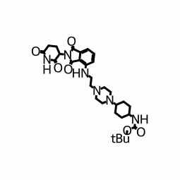 CC(C)(C)OC(=O)NC1CCC(N2CCN(CCNc3cccc4c3C(=O)N(C3CCC(=O)NC3=O)C4=O)CC2)CC1